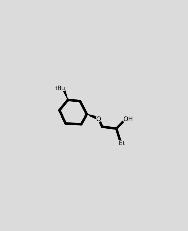 CCC(O)CO[C@H]1CCC[C@@H](C(C)(C)C)C1